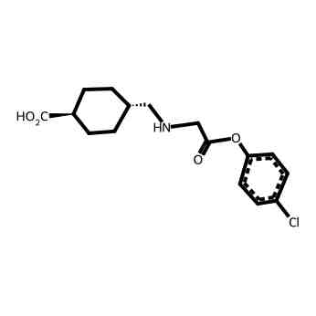 O=C(CNC[C@H]1CC[C@H](C(=O)O)CC1)Oc1ccc(Cl)cc1